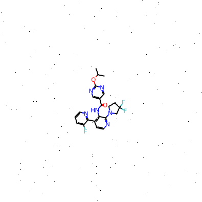 CC(C)Oc1ncc(C(=O)Nc2c(-c3ncccc3F)ccnc2N2CCC(F)(F)C2)cn1